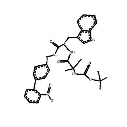 CC(C)(C)OC(=O)NC(C)(C)C(=O)N[C@H](Cc1c[nH]c2ccccc12)C(=O)NCc1ccc(-c2ccccc2[N+](=O)[O-])cc1